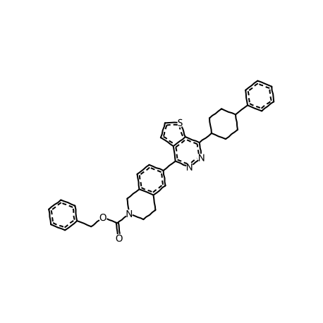 O=C(OCc1ccccc1)N1CCc2cc(-c3nnc(C4CCC(c5ccccc5)CC4)c4sccc34)ccc2C1